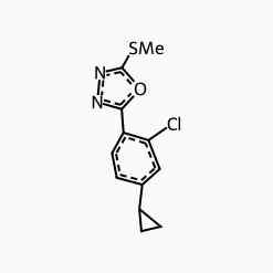 CSc1nnc(-c2ccc(C3CC3)cc2Cl)o1